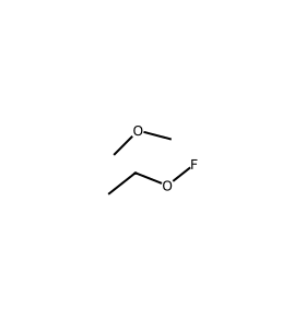 CCOF.COC